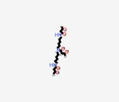 CC(=O)CC(=O)NCCCCCCN(CCCCCCNC(=O)CC(C)=O)C(=O)CC(C)=O